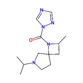 CC(C)N1CCC2(CC(C)N2C(=O)n2cncn2)C1